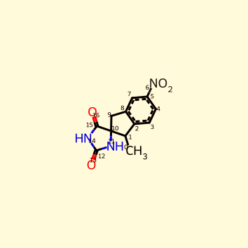 CC1c2ccc([N+](=O)[O-])cc2CC12NC(=O)NC2=O